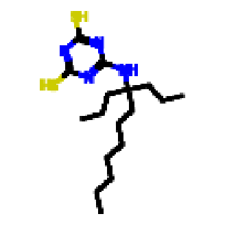 CCCCCCCC(CCC)(CCC)Nc1nc(S)nc(S)n1